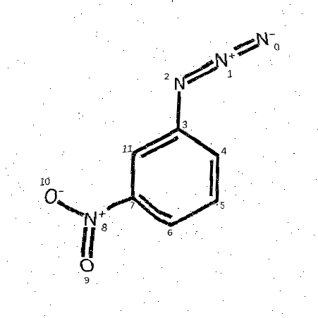 [N-]=[N+]=Nc1c[c]cc([N+](=O)[O-])c1